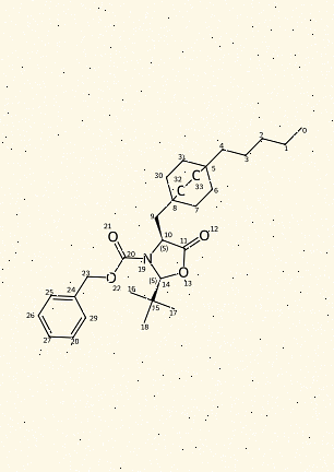 CCCCCC12CCC(C[C@H]3C(=O)O[C@@H](C(C)(C)C)N3C(=O)OCc3ccccc3)(CC1)CC2